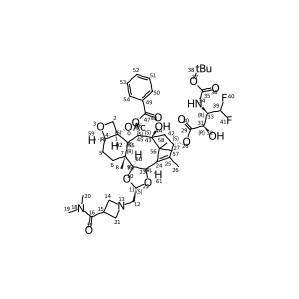 CC(=O)O[C@@]12CO[C@@H]1CC[C@@]1(C)[C@@H]3O[C@H](CN4CC(C(=O)N(C)C)C4)O[C@@H]3C3=C(C)[C@@H](OC(=O)[C@H](O)[C@@H](NC(=O)OC(C)(C)C)C(F)F)C[C@@](O)([C@@H](OC(=O)c4ccccc4)[C@@H]12)C3(C)C